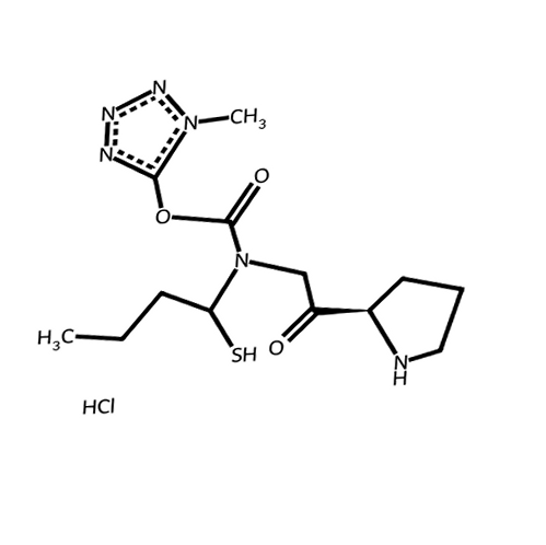 CCCC(S)N(CC(=O)[C@H]1CCCN1)C(=O)Oc1nnnn1C.Cl